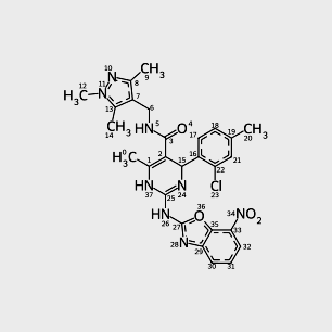 CC1=C(C(=O)NCc2c(C)nn(C)c2C)C(c2ccc(C)cc2Cl)N=C(Nc2nc3cccc([N+](=O)[O-])c3o2)N1